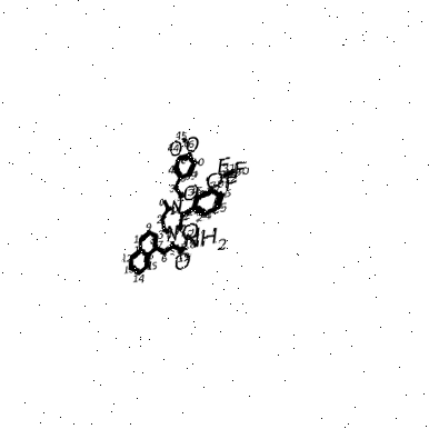 CC1CCN(C(Cc2cccc3ccccc23)C(N)=O)C(=O)C(c2cccc(OC(F)(F)F)c2)N1C(=O)Cc1ccc2c(c1)OCO2